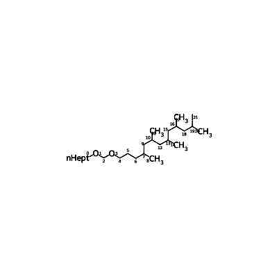 CCCCCCCOCOCCCC(C)CC(C)CC(C)CC(C)CC(C)I